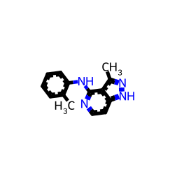 Cc1ccccc1Nc1nccc2[nH]nc(C)c12